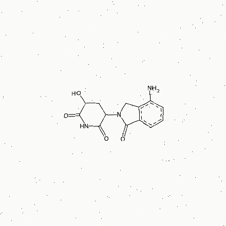 Nc1cccc2c1CN(C1CC(O)C(=O)NC1=O)C2=O